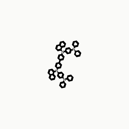 C1=CCC(N(c2ccccc2)c2ccc(N(c3ccc(-c4ccc(N(c5ccc(N(c6ccccc6)c6ccccc6)cc5)c5cccc6ccccc56)cc4)cc3)c3cccc4ccccc34)cc2)C=C1